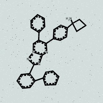 NC1(c2ccc(-c3nc4nc(-c5ccccc5-c5ccccc5)nn4cc3-c3ccccc3)cc2)CCC1